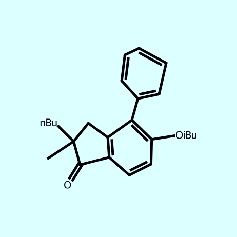 CCCCC1(C)Cc2c(ccc(OCC(C)C)c2-c2ccccc2)C1=O